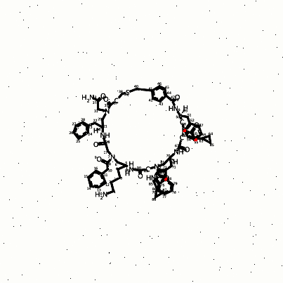 NCCCC[C@H]1CN(C(=O)Cc2ccccc2)CC(=O)N[C@@H](Cc2ccccc2)CN(CC(N)=O)C(=O)CCSCc2ccc(cc2)C(=O)N[C@@H](Cc2ccccc2)CN(C(=O)CC2CC2)CC(=O)N[C@@H](Cc2c[nH]c3ccccc23)CN(C(=O)CC2CC2)CC(=O)N1